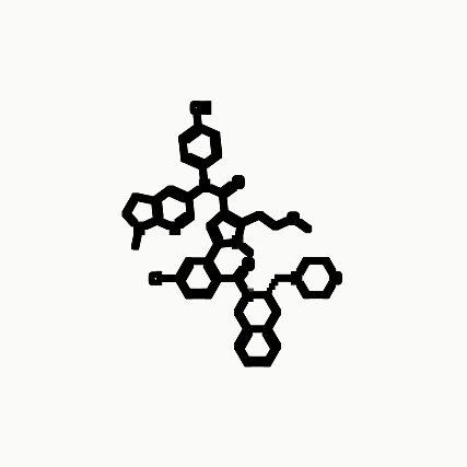 COCCc1c(C(=O)N(c2ccc(O)cc2)c2cnc3c(c2)CCN3C)cc(-c2cc(Cl)ccc2C(=O)N2Cc3ccccc3C[C@H]2CN2CCOCC2)n1C